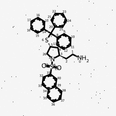 NCC[C@@H]1C[C@@H](SC(c2ccccc2)(c2ccccc2)c2ccccc2)CN1S(=O)(=O)c1ccc2ccccc2c1